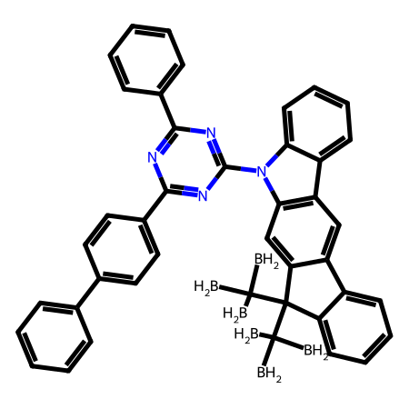 BC(B)(B)C1(C(B)(B)B)c2ccccc2-c2cc3c4ccccc4n(-c4nc(-c5ccccc5)nc(-c5ccc(-c6ccccc6)cc5)n4)c3cc21